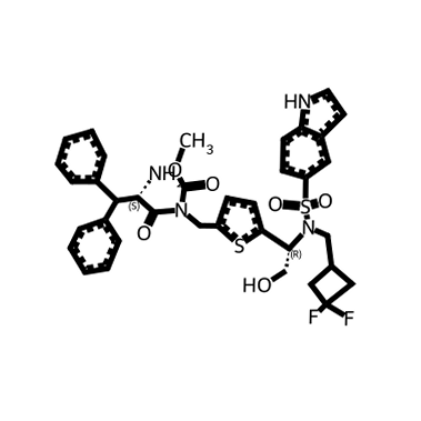 COC(=O)N(Cc1ccc([C@@H](CO)N(CC2CC(F)(F)C2)S(=O)(=O)c2ccc3[nH]ccc3c2)s1)C(=O)[C@@H](N)C(c1ccccc1)c1ccccc1